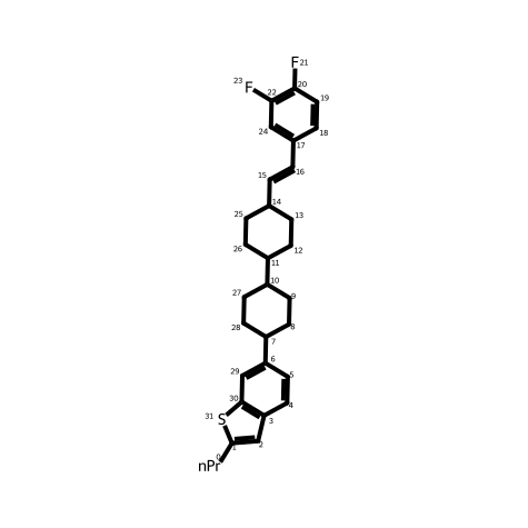 CCCc1cc2ccc(C3CCC(C4CCC(/C=C/c5ccc(F)c(F)c5)CC4)CC3)cc2s1